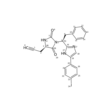 C#CC[C@H]1NC(=O)N([C@@H](Cc2ccccc2)c2ncc(-c3ccc(I)cc3)[nH]2)C1=O